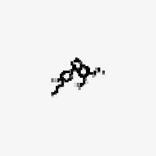 COc1cc2ncnc(N3CCC(O)(CC=CI)CC3)c2cc1OC